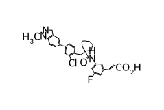 Cn1ncc2cc(-c3ccc(CC4(C(=O)Nc5cc(F)cc(/C=C/C(=O)O)c5)CCCCC4)c(Cl)c3)ccc21